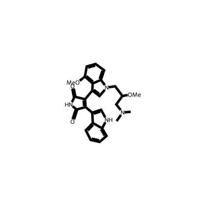 COc1cccc2c1c(C1=C(c3c[nH]c4ccccc34)C(=O)NC1=O)cn2CC(CN(C)C)OC